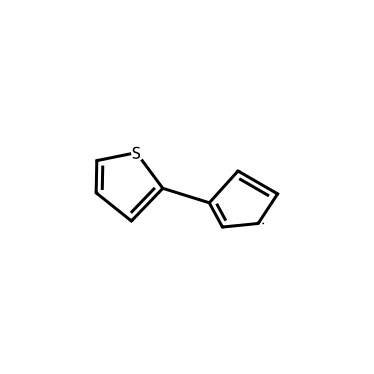 [CH]1C=CC(c2cccs2)=C1